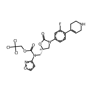 O=C1O[C@@H](CN(C(=O)OCC(Cl)(Cl)Cl)c2ccon2)CN1c1ccc(C2=CCNCC2)c(F)c1